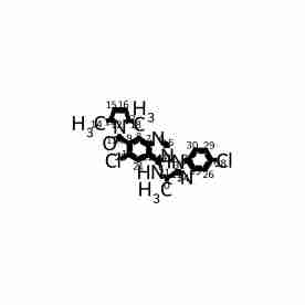 CC(Nc1ncnc2cc(C(=O)N3C(C)C=CC3C)c(Cl)cc12)c1nc2cc(Cl)ccc2[nH]1